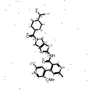 COc1cnc(Cl)cc1-c1cc(C)ncc1C(=O)Nc1nc2c(s1)CN(C(=O)C1CCC(C(F)F)CC1)C2